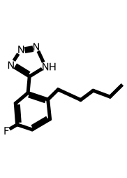 CCCCCc1ccc(F)cc1-c1nnn[nH]1